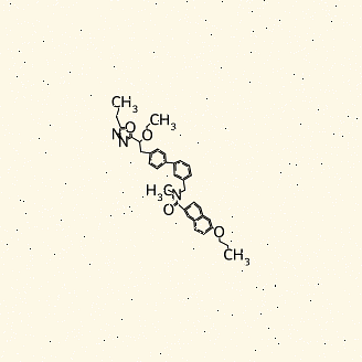 CCCOc1ccc2cc(C(=O)N(C)Cc3cccc(-c4ccc(CC(OCC)c5nnc(CCC)o5)cc4)c3)ccc2c1